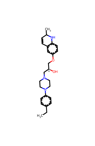 CCc1ccc(N2CCN(C[C@H](O)COc3ccc4c(c3)C=CC(C)N4)CC2)cc1